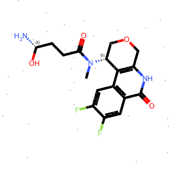 CN(C(=O)CC[C@@H](N)O)[C@@H]1COCc2[nH]c(=O)c3cc(F)c(F)cc3c21